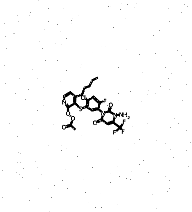 CCCCCc1ccnc(OOC(C)=O)c1Sc1cc(-n2c(=O)cc(C(F)(F)F)n(N)c2=O)c(F)cc1Cl